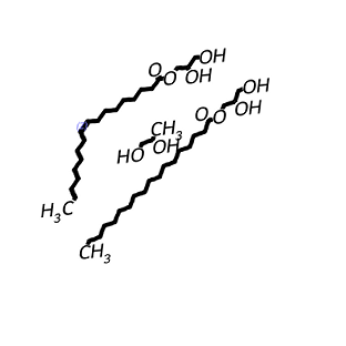 CC(O)CO.CCCCCCCC/C=C\CCCCCCCC(=O)OCC(O)CO.CCCCCCCCCCCCCCCCCC(=O)OCC(O)CO